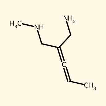 CC=C=C(CN)CNC